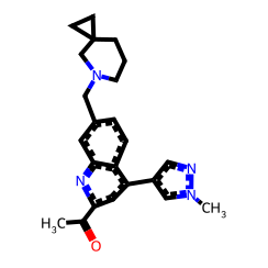 CC(=O)c1cc(-c2cnn(C)c2)c2ccc(CN3CCCC4(CC4)C3)cc2n1